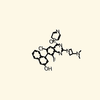 CN(C)C1CN(c2nc([P@@]3(=O)C=CN=CC3)c3cc(Cl)c(-c4cc(O)cc5ccccc45)c(F)c3n2)C1